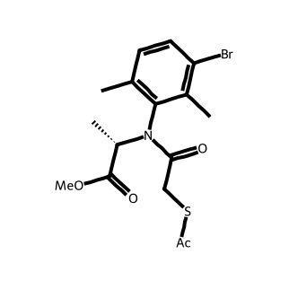 COC(=O)[C@H](C)N(C(=O)CSC(C)=O)c1c(C)ccc(Br)c1C